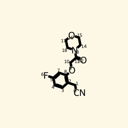 N#CCc1ccc(F)cc1OCC(=O)N1CCOCC1